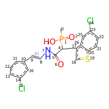 CP(=O)(O)C(C(=O)N/C=C/c1cccc(Cl)c1)c1csc2ccc(Cl)cc12